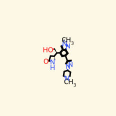 CN1CCC(n2cc(-c3cc([C@H](CO)[C@@H]4CNC(=O)C4)c4cn(C)nc4c3)cn2)CC1